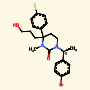 C[C@@H](c1ccc(Br)cc1)N1CCC(CCCO)(c2ccc(F)cc2)N(C)C1=O